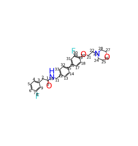 O=C(Cc1cccc(F)c1)NCc1ccc(-c2ccc(OCCN3CCOCC3)c(F)c2)cc1